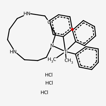 Cl.Cl.Cl.[CH3][Ti]([CH3])([c]1ccccc1)([c]1ccccc1)([c]1ccccc1)[N]1CCCNCCCNCCC1